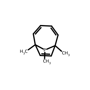 CP1C2(C)C=CC=CC1(C)C=C2